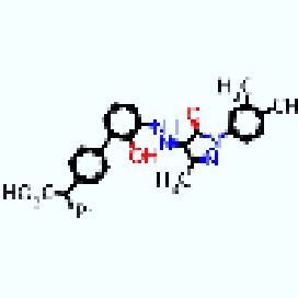 CC1=NN(c2ccc(C)c(C)c2)C(=O)C1=NNc1cccc(-c2ccc(C(C(=O)O)C(C)C)cc2)c1O